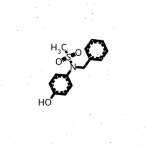 CS(=O)(=O)N(Cc1ccccc1)c1ccc(O)cc1